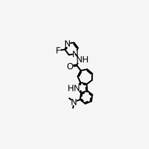 CN(C)c1cccc2c3c([nH]c12)C=C(C(=O)NN1C=CN=C(F)C1)C=CC3